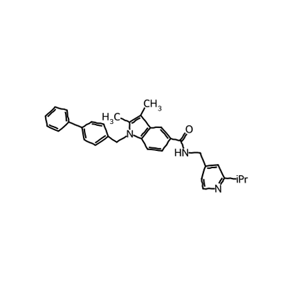 Cc1c(C)n(Cc2ccc(-c3ccccc3)cc2)c2ccc(C(=O)NCc3ccnc(C(C)C)c3)cc12